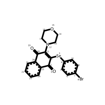 O=C1C([Se]c2ccc(Br)cc2)=C(N2CCOCC2)C(=O)c2ccccc21